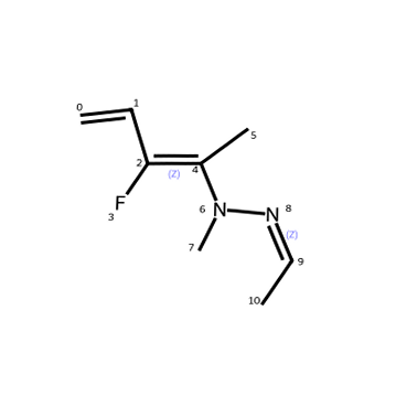 C=C/C(F)=C(\C)N(C)/N=C\C